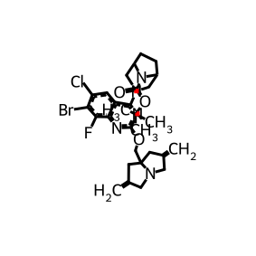 C=C1CN2CC(=C)CC2(COc2nc(N3CC4CCC(C3)N4C(=O)OC(C)(C)C)c3cc(Cl)c(Br)c(F)c3n2)C1